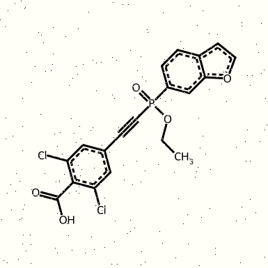 CCOP(=O)(C#Cc1cc(Cl)c(C(=O)O)c(Cl)c1)c1ccc2ccoc2c1